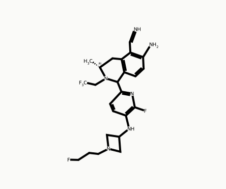 C[C@@H]1Cc2c(ccc(N)c2C=N)C(c2ccc(NC3CN(CCCF)C3)c(F)n2)N1CC(F)(F)F